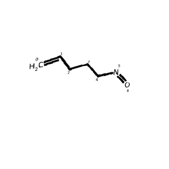 C=CCCCN=O